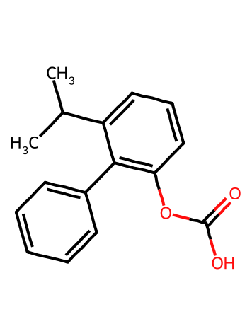 CC(C)c1cccc(OC(=O)O)c1-c1ccccc1